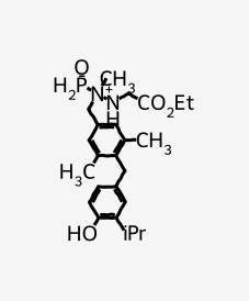 CCOC(=O)CN[N+](C)(Cc1cc(C)c(Cc2ccc(O)c(C(C)C)c2)c(C)c1)[PH2]=O